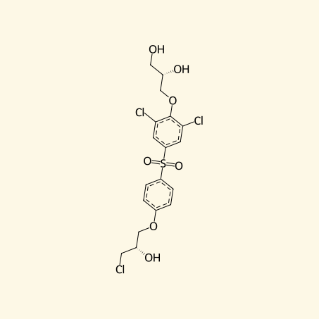 O=S(=O)(c1ccc(OC[C@H](O)CCl)cc1)c1cc(Cl)c(OC[C@@H](O)CO)c(Cl)c1